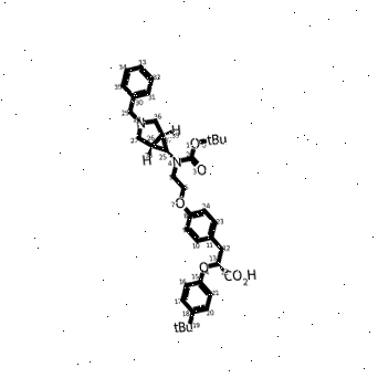 CC(C)(C)OC(=O)N(CCOc1ccc(C[C@H](Oc2ccc(C(C)(C)C)cc2)C(=O)O)cc1)[C@H]1[C@@H]2CN(Cc3ccccc3)C[C@@H]21